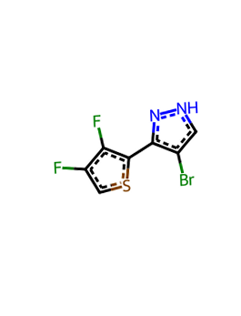 Fc1csc(-c2n[nH]cc2Br)c1F